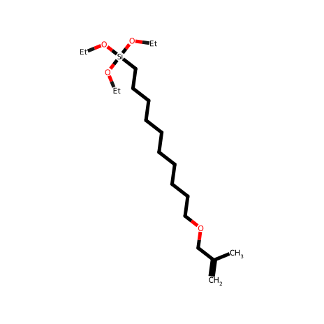 C=C(C)COCCCCCCCCCC[Si](OCC)(OCC)OCC